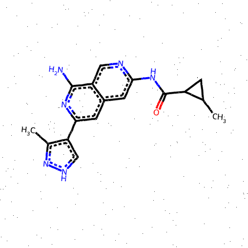 Cc1n[nH]cc1-c1cc2cc(NC(=O)C3CC3C)ncc2c(N)n1